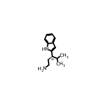 CC(C)[C@@H](CCN)c1cc2ccccc2[nH]1